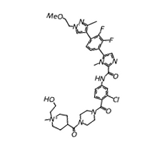 COCCn1cc(-c2ccc(-c3cnc(C(=O)Nc4ccc(C(=O)N5CCN(C(=O)C6CC[N+](C)(CCO)CC6)CC5)c(Cl)c4)n3C)c(F)c2F)c(C)n1